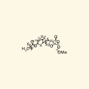 COCOC1OC(=O)C2C1OC1SC3(SC12)C1CC2CC3CC(OC(=O)C(C)(F)F)(C2)C1